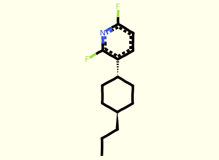 CCC[C@H]1CC[C@H](c2ccc(F)nc2F)CC1